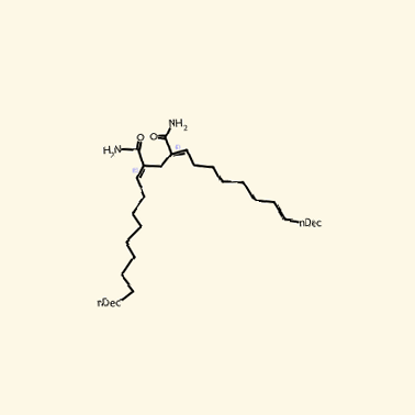 CCCCCCCCCCCCCCCCC/C=C(\C/C(=C\CCCCCCCCCCCCCCCCC)C(N)=O)C(N)=O